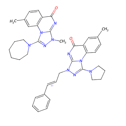 Cc1ccc2c(=O)nc3n(C)nc(N4CCCCCC4)n3c2c1.Cc1ccc2c(c1)c(=O)nc1n(C/C=C/c3ccccc3)nc(N3CCCC3)n21